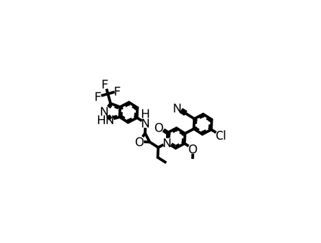 CCC(C1OC1Nc1ccc2c(C(F)(F)F)n[nH]c2c1)n1cc(OC)c(-c2cc(Cl)ccc2C#N)cc1=O